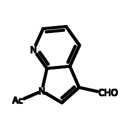 CC(=O)n1cc(C=O)c2cccnc21